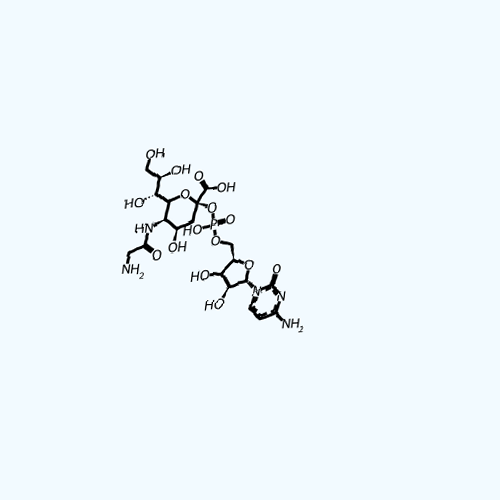 NCC(=O)N[C@H]1C([C@H](O)[C@H](O)CO)O[C@](OP(=O)(O)OC[C@H]2O[C@@H](n3ccc(N)nc3=O)[C@@H](O)C2O)(C(=O)O)C[C@H]1O